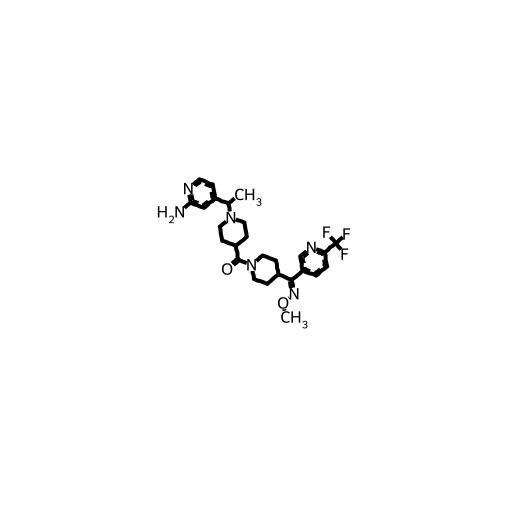 CON=C(c1ccc(C(F)(F)F)nc1)C1CCN(C(=O)C2CCN(C(C)c3ccnc(N)c3)CC2)CC1